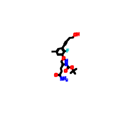 Cc1cc(C#CCCO)c(F)c(OC[C@H](CCC(N)=O)NC(=O)OC(C)(C)C)c1